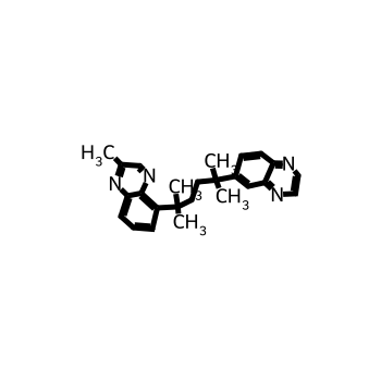 Cc1cnc2c(C(C)(C)CCC(C)(C)c3ccc4nccnc4c3)cccc2n1